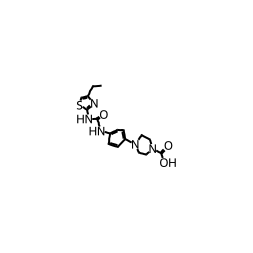 CCc1csc(NC(=O)Nc2ccc(N3CCN(C(=O)O)CC3)cc2)n1